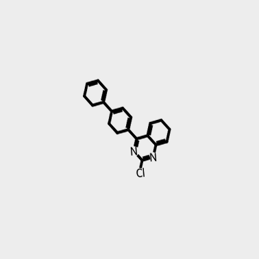 Clc1nc(C2=CC=C(C3=CC=CCC3)CC2)c2c(n1)=CCCC=2